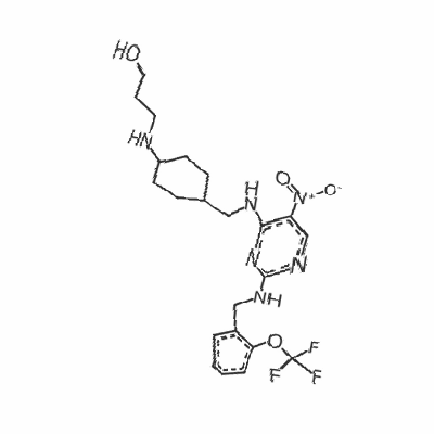 O=[N+]([O-])c1cnc(NCc2ccccc2OC(F)(F)F)nc1NCC1CCC(NCCCO)CC1